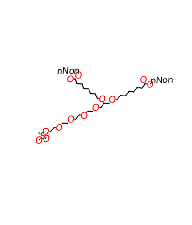 CCCCCCCCCOC(=O)CCCCCCCOCC(COCCOCCOCCOCCOS(C)(=O)=O)OCCCCCCCC(=O)OCCCCCCCCC